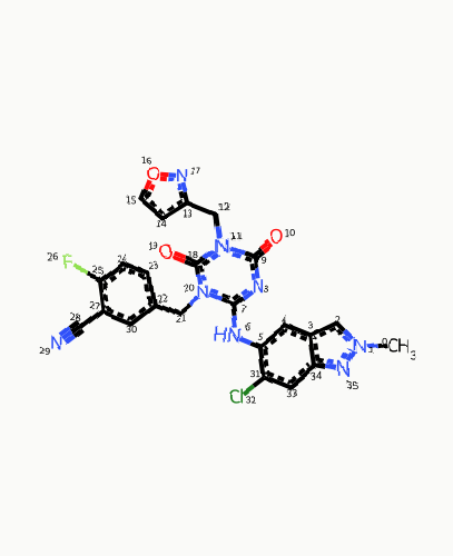 Cn1cc2cc(Nc3nc(=O)n(Cc4ccon4)c(=O)n3Cc3ccc(F)c(C#N)c3)c(Cl)cc2n1